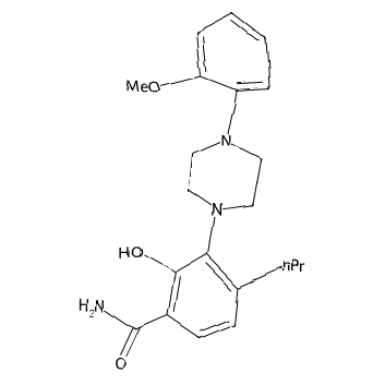 CCCc1ccc(C(N)=O)c(O)c1N1CCN(c2ccccc2OC)CC1